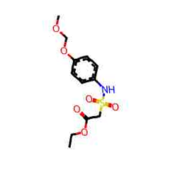 CCOC(=O)CS(=O)(=O)Nc1ccc(OCOC)cc1